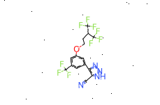 N#Cc1[nH]nnc1-c1cc(OCCC(C(F)(F)F)C(F)(F)F)cc(C(F)(F)F)c1